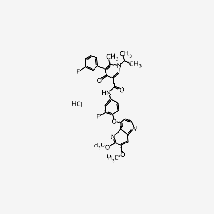 COc1cc2nccc(Oc3ccc(NC(=O)c4cn(C(C)C)c(C)c(-c5cccc(F)c5)c4=O)cc3F)c2nc1OC.Cl